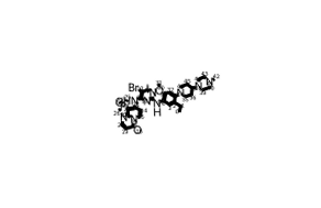 CCc1cc(Nc2ncc(Br)c(Nc3ccn4c(=O)ccnc4c3P(C)(C)=O)n2)c(OC)cc1N1CCC(N2CCN(C)CC2)CC1